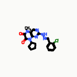 Cn1c(=O)c(=O)n(C2CCCC2)c2nc(NN=Cc3ccccc3Cl)ncc21